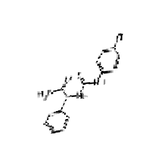 NC(=O)C(NC(=S)Nc1ccc(Cl)cc1)c1ccccc1